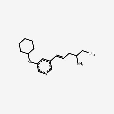 CCC(N)CC=Cc1cncc(OC2CCCCC2)c1